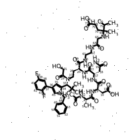 CC(=O)N[C@@H](C)C(=O)N[C@H](CC(=O)O)C(=O)N[C@@H](CC(N)=O)C(=O)N[C@@H](CCN(C(=O)CO)[C@@H](c1cc(-c2cc(F)ccc2F)cn1Cc1ccccc1)C(C)(C)C)C(=O)NCCNC(=O)CNC(C)(CCC(=O)O)C(C)C